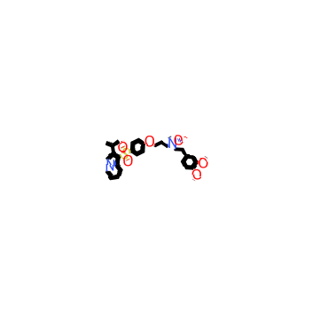 COc1ccc(CC[N+](C)([O-])CCCOc2ccc(S(=O)(=O)c3c(C(C)C)cn4ccccc34)cc2)cc1OC